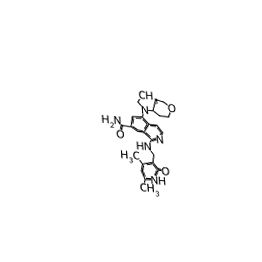 CCN(c1cc(C(N)=O)cc2c(NCc3c(C)cc(C)[nH]c3=O)nccc12)C1CCOCC1